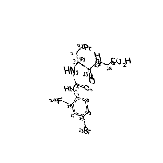 CC(C)C[C@@H](NC(=O)Nc1ccc(Br)cc1F)C(=O)NCC(=O)O